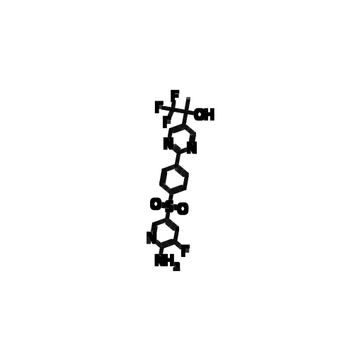 CC(O)(c1cnc(-c2ccc(S(=O)(=O)c3cnc(N)c(F)c3)cc2)nc1)C(F)(F)F